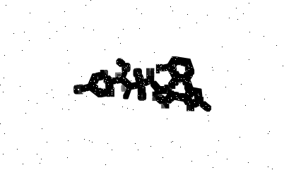 CO[C@H](c1ncc(Cl)cn1)[C@H](C)S(=O)(=O)Nc1nnc2c3nn(C)cc3c3cccc(F)c3n12